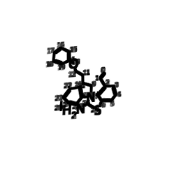 C=Cc1cccc2c1[N+](CCCCOc1ccccc1)(c1ccccc1)C(N)S2.[I-]